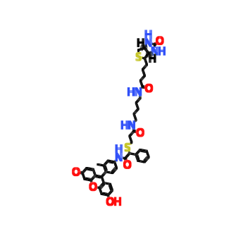 Cc1cc(NC(=O)C(SCCC(=O)NCCCCCNC(=O)CCCCC2SC[C@@H]3NC(=O)N[C@H]23)c2ccccc2)ccc1-c1c2ccc(=O)cc-2oc2cc(O)ccc12